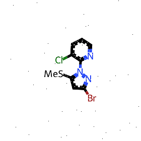 CSc1cc(Br)nn1-c1ncccc1Cl